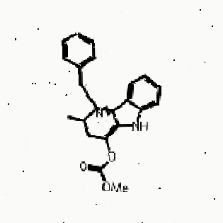 COC(=O)OC1=C2Nc3ccccc3C23CCN(Cc2ccccc2)C3C(C)C1